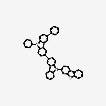 c1ccc(-c2ccc3c(c2)c2cc(-c4ccc5c(c4)c4ccccc4n5-c4ccc5c(c4)oc4ccccc45)ccc2n3-c2ccccc2)cc1